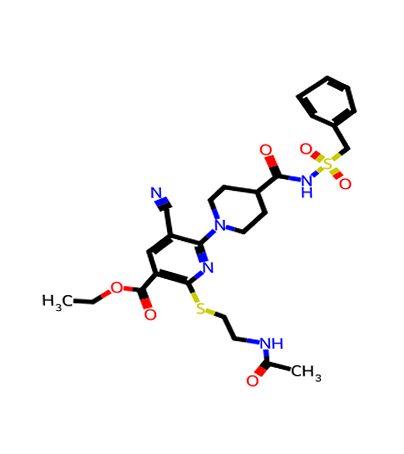 CCOC(=O)c1cc(C#N)c(N2CCC(C(=O)NS(=O)(=O)Cc3ccccc3)CC2)nc1SCCNC(C)=O